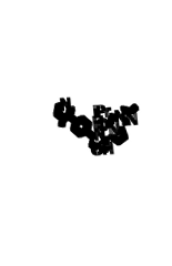 Cc1cn([C@H](C(=O)N2CCC[C@H]2C(=O)N[C@@H](CO)c2ccc(-c3cnccc3C)cc2)C(C)C)cn1